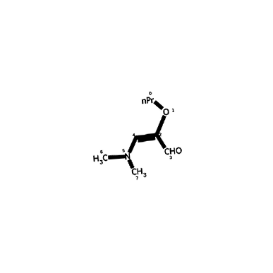 CCCOC(C=O)=CN(C)C